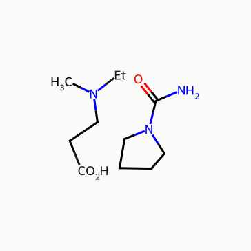 CCN(C)CCC(=O)O.NC(=O)N1CCCC1